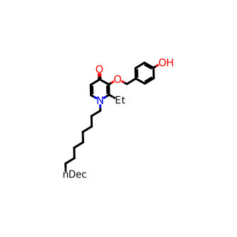 CCCCCCCCCCCCCCCCCCn1ccc(=O)c(OCc2ccc(O)cc2)c1CC